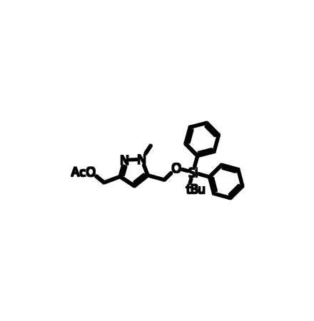 CC(=O)OCc1cc(CO[Si](c2ccccc2)(c2ccccc2)C(C)(C)C)n(C)n1